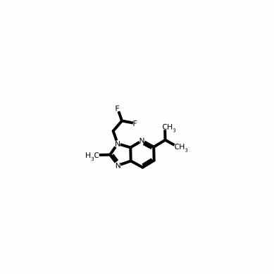 CC1=NC2C=CC(C(C)C)=NC2N1CC(F)F